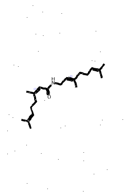 CC(C)=CCC/C(C)=C\C(=O)NC/C=C(\C)CCC=C(C)C